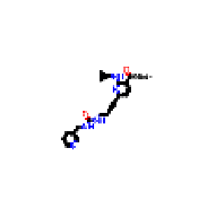 CNC(=O)c1ccc(C#CCCNC(=O)NCc2cccnc2)nc1NC1CC1